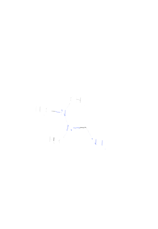 CN(C)N(C)CN